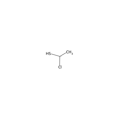 C[C](S)Cl